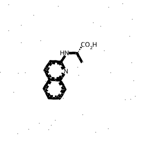 C[C@H](Nc1ccc2ccccc2n1)C(=O)O